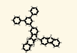 c1ccc(-c2cc(-c3ccccc3)cc(-c3ccc4c(c3)c3nc5ccccc5nc3n4-c3ccc4c(c3)sc3ccccc34)c2)cc1